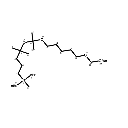 CCCC[N+](C)(CCC)CCCC(C)(C)OC(C)(C)OCCCCCOSOC